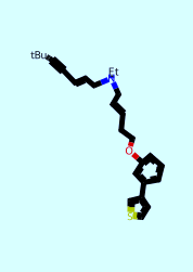 CCN(CC=CC#CC(C)(C)C)CC=CCCOc1cccc(-c2ccsc2)c1